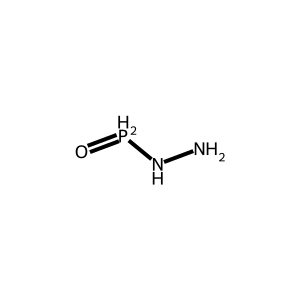 NN[PH2]=O